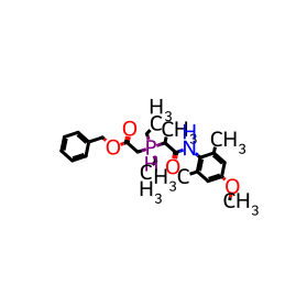 CC[PH](CC)(CC(=O)OCc1ccccc1)C(C)C(=O)Nc1c(C)cc(OC)cc1C